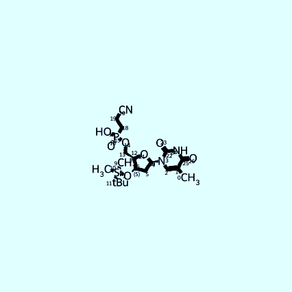 Cc1cn([C@H]2C[C@H](O[Si](C)(C)C(C)(C)C)[C@@H](COP(=O)(O)CCC#N)O2)c(=O)[nH]c1=O